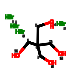 Br.Br.Br.Br.OCC(CO)(CO)CO